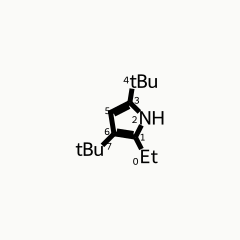 [CH2]Cc1[nH]c(C(C)(C)C)cc1C(C)(C)C